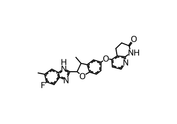 Cc1cc2[nH]c(C3Oc4ccc(Oc5ccnc6c5CCC(=O)N6)cc4C3C)nc2cc1F